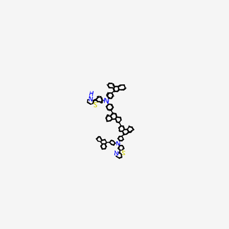 C1=Cc2sc3cc(N(c4ccc(-c5cc6ccccc6c6ccccc56)cc4)c4ccc(-c5cc6ccc(-c7ccc8c(-c9ccc(N(c%10ccc(-c%11cc%12ccccc%12c%12ccccc%11%12)cc%10)c%10ccc%11sc%12cccnc%12c%11c%10)cc9)cc9ccccc9c8c7)cc6c6ccccc56)cc4)ccc3c2NC1